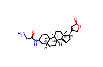 C[C@]12CC[C@H](NC(=O)CN)C[C@H]1CC[C@H]1C3=CC[C@H](C4=CC(=O)OC4)[C@@]3(C)CC[C@@H]12